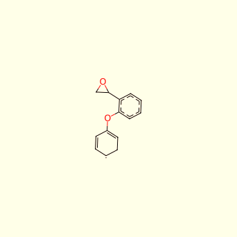 [CH]1C=CC(Oc2ccccc2C2CO2)=CC1